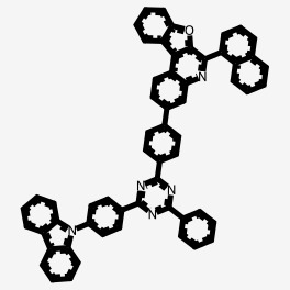 c1ccc(-c2nc(-c3ccc(-c4ccc5c(c4)nc(-c4cccc6ccccc46)c4oc6ccccc6c45)cc3)nc(-c3ccc(-n4c5ccccc5c5ccccc54)cc3)n2)cc1